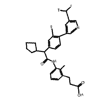 Cc1c(CCC(=O)O)cccc1NC(=O)C(c1ccc(-c2cncc(C(F)F)c2)c(F)c1)C1CCCC1